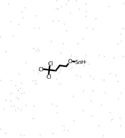 ClC(Cl)(Cl)CCC[O][SnH]